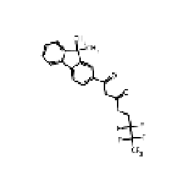 CC1(C)c2ccccc2-c2ccc(C(=O)CC(=O)CCC(F)(F)C(F)(F)C(F)(F)F)cc21